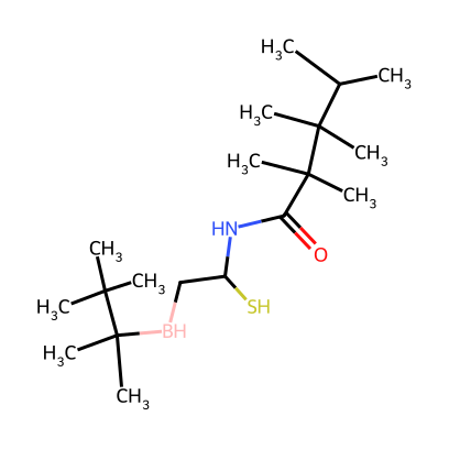 CC(C)C(C)(C)C(C)(C)C(=O)NC(S)CBC(C)(C)C(C)(C)C